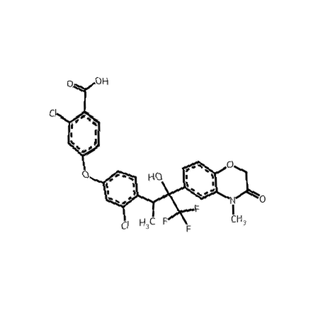 CC(c1ccc(Oc2ccc(C(=O)O)c(Cl)c2)cc1Cl)C(O)(c1ccc2c(c1)N(C)C(=O)CO2)C(F)(F)F